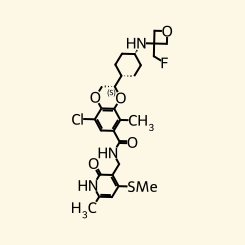 CSc1cc(C)[nH]c(=O)c1CNC(=O)c1cc(Cl)c2c(c1C)O[C@@H]([C@H]1CC[C@@H](NC3(CF)COC3)CC1)CO2